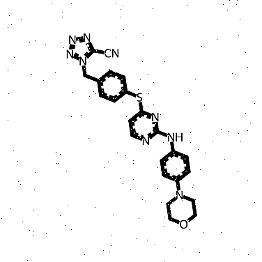 N#Cc1nnnn1Cc1ccc(Sc2ccnc(Nc3ccc(N4CCOCC4)cc3)n2)cc1